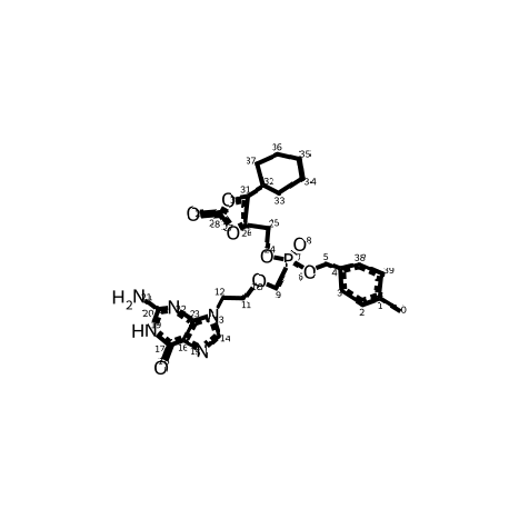 Cc1ccc(COP(=O)(COCCn2cnc3c(=O)[nH]c(N)nc32)OCc2oc(=O)oc2C2CCCCC2)cc1